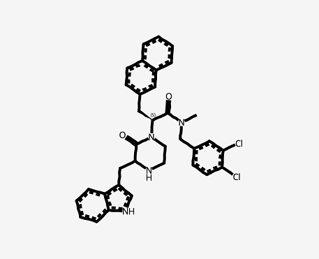 CN(Cc1ccc(Cl)c(Cl)c1)C(=O)[C@H](Cc1ccc2ccccc2c1)N1CCNC(Cc2c[nH]c3ccccc23)C1=O